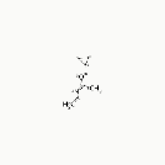 C=C/N=C(\C)OCC1CC1